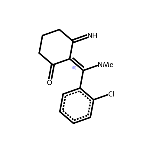 CN/C(=C1\C(=N)CCCC1=O)c1ccccc1Cl